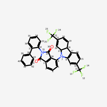 O=C1c2cccc(N3c4cc(C(F)(F)F)ccc4C4C=CC(C(F)(F)F)=CC43)c2C(=O)N1c1ccccc1-c1ccccc1